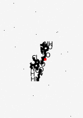 CNCCN(C)C(=O)Oc1cc2c(c3c(C)c[nH]c13)C(CCl)CN2C(=O)C12CC(C(=O)N3CC4CC45C3=CC(=O)c3[nH]cc(C)c35)(C1)C2